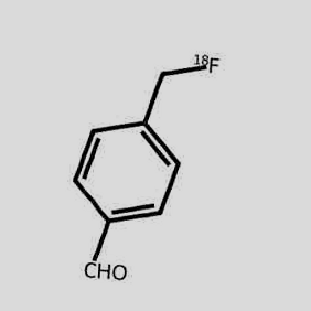 O=Cc1ccc(C[18F])cc1